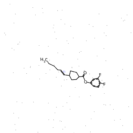 CCCC/C=C/C1CCC(C(=O)Oc2ccc(F)c(F)c2)CC1